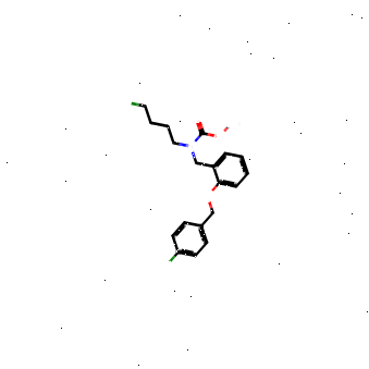 CC(C)(C)OC(=O)N(CCCCBr)Cc1ccccc1OCc1ccc(F)cc1